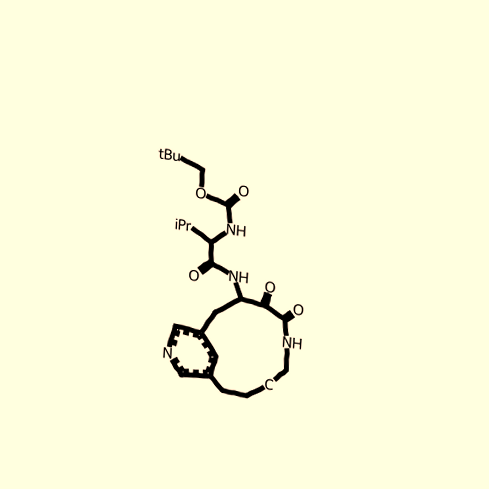 CC(C)C(NC(=O)OCC(C)(C)C)C(=O)NC1Cc2cncc(c2)CCCCNC(=O)C1=O